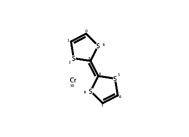 C1=CSC(=C2SC=CS2)S1.[Cr]